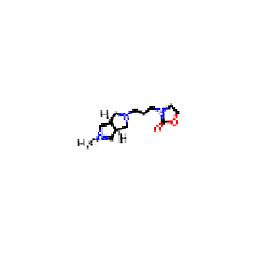 CN1C[C@@H]2CN(CCCN3CCOC3=O)C[C@@H]2C1